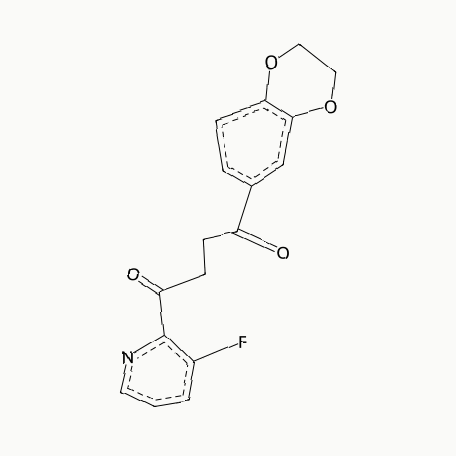 O=C(CCC(=O)c1ncccc1F)c1ccc2c(c1)OCCO2